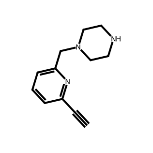 C#Cc1cccc(CN2CCNCC2)n1